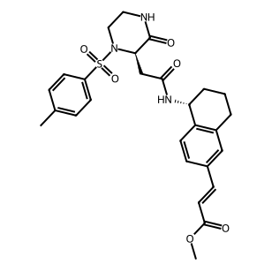 COC(=O)C=Cc1ccc2c(c1)CCC[C@H]2NC(=O)C[C@@H]1C(=O)NCCN1S(=O)(=O)c1ccc(C)cc1